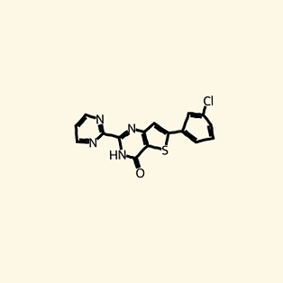 O=c1[nH]c(-c2ncccn2)nc2cc(-c3cccc(Cl)c3)sc12